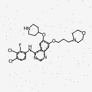 Fc1c(Nc2ncnc3cc(OCCCN4CCOCC4)c(OC4CCNCC4)cc23)ccc(Cl)c1Cl